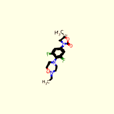 CCN1CCN(c2c(F)cc(N3C[C@H](C)OC3=O)cc2F)CCO1